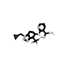 CC(O)c1cccnc1Oc1ccc2c(nnn2CC2CC2)c1C(F)(F)F